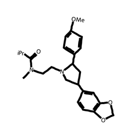 COc1ccc(C2CC(c3ccc4c(c3)OCO4)CN2CCN(C)C(=O)C(C)C)cc1